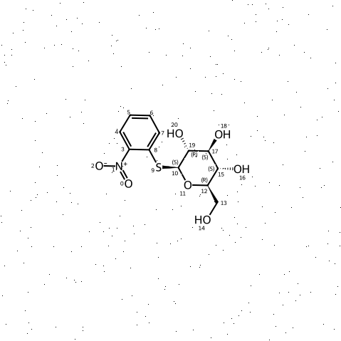 O=[N+]([O-])c1ccccc1S[C@@H]1O[C@H](CO)[C@@H](O)[C@H](O)[C@H]1O